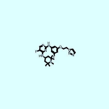 CN1C(C)(C)CC(Nc2nc(Nc3cc(F)cc(OCCn4ccnn4)c3)ncc2F)CC1(C)C